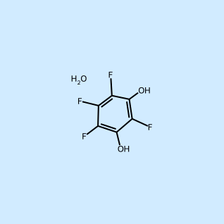 O.Oc1c(F)c(O)c(F)c(F)c1F